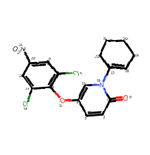 O=c1ccc(Oc2c(Cl)cc([N+](=O)[O-])cc2Cl)cn1C1=CCCCC1